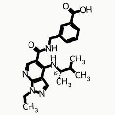 CCn1ncc2c(N[C@@H](C)C(C)C)c(C(=O)NCc3cccc(C(=O)O)c3)cnc21